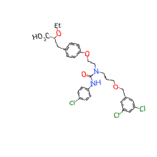 CCOC(Cc1ccc(OCCN(CCCOCc2cc(Cl)cc(Cl)c2)C(=O)Nc2ccc(Cl)cc2)cc1)C(=O)O